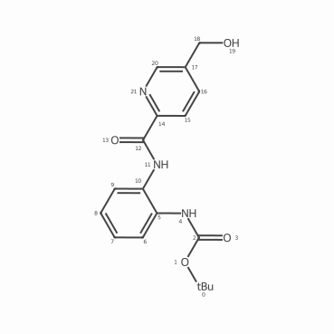 CC(C)(C)OC(=O)Nc1ccccc1NC(=O)c1ccc(CO)cn1